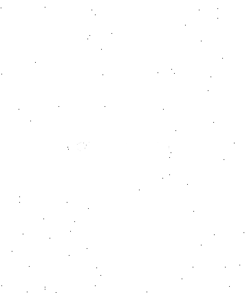 CCCCCCCCCCCCCCCCCC[n+]1ccccc1